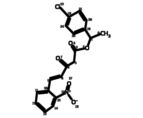 CC(OC(=O)CC(=O)C=Cc1ccccc1[N+](=O)[O-])c1ccc(Cl)cc1